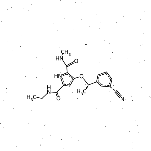 CCNC(=O)c1cc(O[C@H](C)c2cccc(C#N)c2)c(C(=O)NC)[nH]1